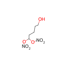 O=[N+]([O-])OC(CCCCO)O[N+](=O)[O-]